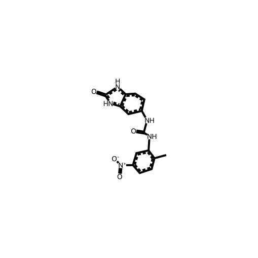 Cc1ccc([N+](=O)[O-])cc1NC(=O)Nc1ccc2[nH]c(=O)[nH]c2c1